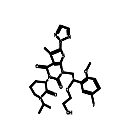 COc1ccc(F)cc1[C@H](Cn1c(=O)n([C@H]2CCCN(C(C)C)C2=O)c(=O)c2c(C)c(-n3nccn3)sc21)OCCO